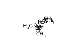 CCc1ccc(C2=Cc3ccc4c(c3OC2)C=CC(C)(C)O4)c(NS(=O)(=O)c2ccc(C)cc2)c1